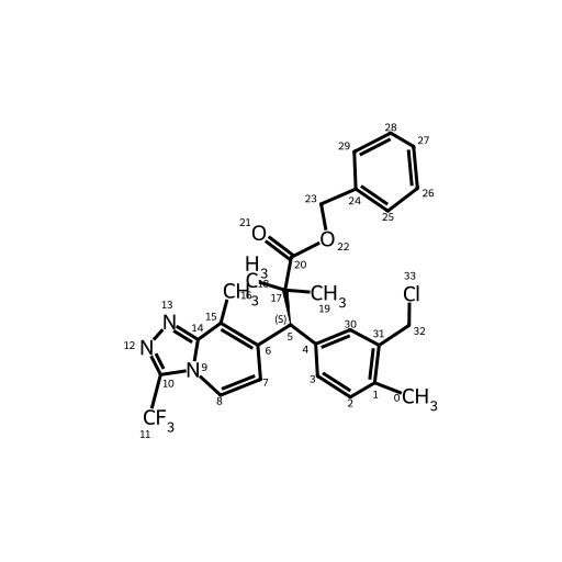 Cc1ccc([C@@H](c2ccn3c(C(F)(F)F)nnc3c2C)C(C)(C)C(=O)OCc2ccccc2)cc1CCl